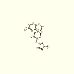 CCn1cc(CN2CC[C@]3(C[C@@H]2C)OCCc2ccc(Cl)cc23)nn1